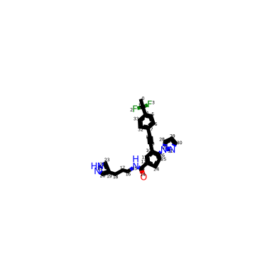 CC(F)(F)c1ccc(C#Cc2cc(C(=O)NCCCc3cn[nH]c3)ccc2-n2cccn2)cc1